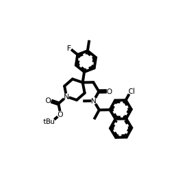 Cc1ccc(C2(CC(=O)N(C)C(C)c3cc(Cl)cc4ccccc34)CCN(C(=O)OC(C)(C)C)CC2)cc1F